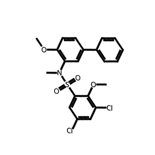 COc1ccc(-c2ccccc2)cc1N(C)S(=O)(=O)c1cc(Cl)cc(Cl)c1OC